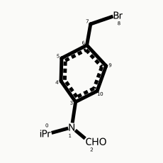 CC(C)N(C=O)c1ccc(CBr)cc1